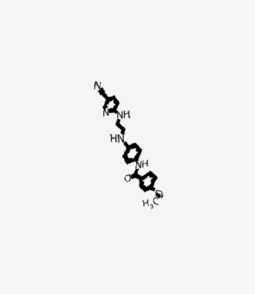 COc1ccc(C(=O)Nc2ccc(NCCNc3ccc(C#N)cn3)cc2)cc1